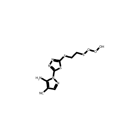 N#Cc1cnn(-c2nnc(SCCSOOO)s2)c1N